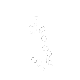 CC(C)(C)OC(=O)N1CC2(CC2)CC1c1ncc(-c2ccc(-c3ccc4cc(-c5cnc(C6CCCN6C(=O)OCc6ccccc6)[nH]5)ccc4c3)cc2)[nH]1